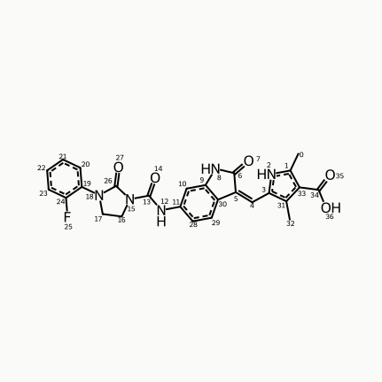 Cc1[nH]c(C=C2C(=O)Nc3cc(NC(=O)N4CCN(c5ccccc5F)C4=O)ccc32)c(C)c1C(=O)O